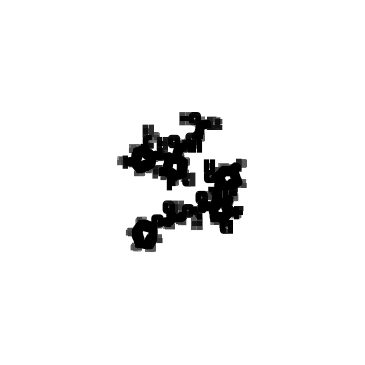 CCC(O)CONC(=O)c1cc(Cl)c(F)c(F)c1Nc1ccc(I)cc1C.Cc1cc(I)ccc1Nc1c(C(=O)NOCC(O)COc2ccccc2)cc(Cl)c(F)c1F